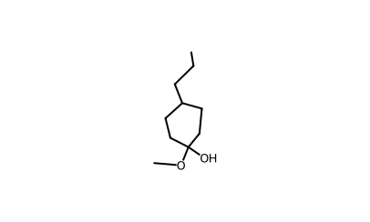 CCCC1CCC(O)(OC)CC1